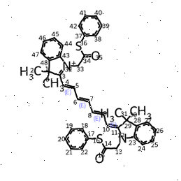 CC1(C)C(/C=C/C=C/C=C/C=C2/N(CC(=O)Sc3ccccc3)c3ccccc3C2(C)C)=[N+](CC(=O)Sc2ccccc2)c2ccccc21